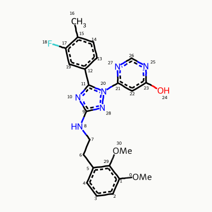 COc1cccc(CCNc2nc(-c3ccc(C)c(F)c3)n(-c3cc(O)ncn3)n2)c1OC